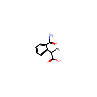 CC(C(=O)O)c1ccccc1C(N)=O